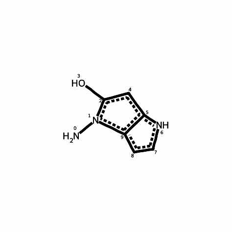 Nn1c(O)cc2[nH]ccc21